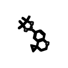 CC1(C)OB(c2ccc3c(c2)C2(CCO3)CC2)OC1(C)C